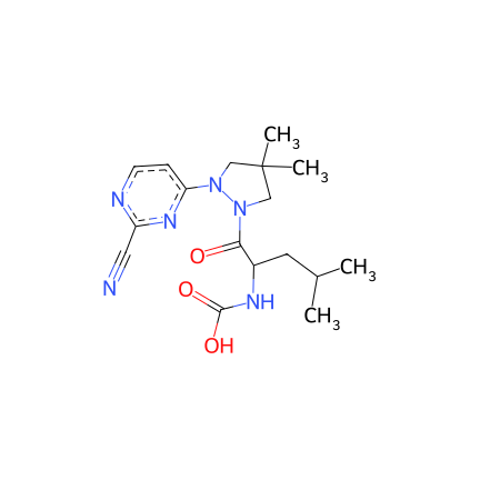 CC(C)CC(NC(=O)O)C(=O)N1CC(C)(C)CN1c1ccnc(C#N)n1